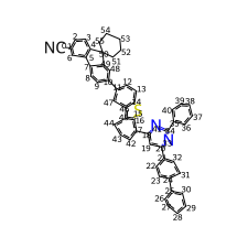 N#Cc1ccc2c(c1)-c1ccc(-c3ccc4sc5c(-c6cc(-c7ccc(-c8ccccc8)cc7)nc(-c7ccccc7)n6)cccc5c4c3)cc1C21CCCCC1